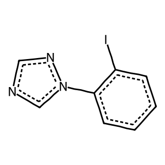 Ic1ccccc1-n1cncn1